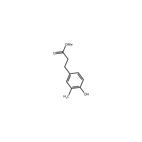 COC(=O)CCc1ccc(O)c(C)c1